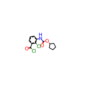 O=C(Nc1cccc(C(=O)Cl)c1Cl)OC1CCCC1